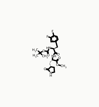 COC(=O)[C@H](C[C@@H]1CCNC1=O)NC(=O)[C@H](Cc1ccc(F)c(F)c1)NC(=O)OC(C)(C)C